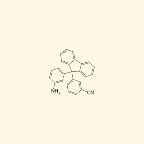 N#Cc1cccc(C2(c3cccc(N)c3)c3ccccc3-c3ccccc32)c1